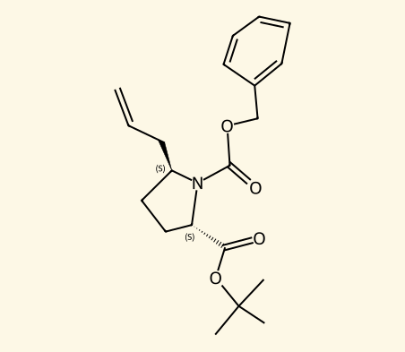 C=CC[C@@H]1CC[C@@H](C(=O)OC(C)(C)C)N1C(=O)OCc1ccccc1